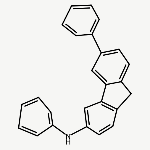 c1ccc(Nc2ccc3c(c2)-c2cc(-c4ccccc4)ccc2C3)cc1